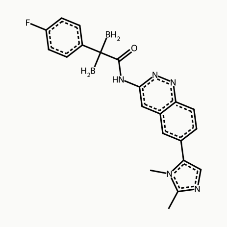 BC(B)(C(=O)Nc1cc2cc(-c3cnc(C)n3C)ccc2nn1)c1ccc(F)cc1